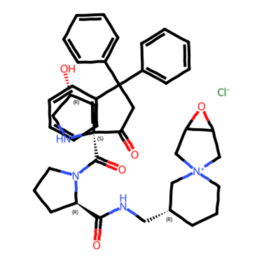 O=C(NC[C@H]1CCC[N+]2(CC3OC3C2)C1)[C@H]1CCCN1C(=O)[C@@]1(C(=O)CC(c2ccccc2)(c2ccccc2)c2ccccc2)C[C@@H](O)CN1.[Cl-]